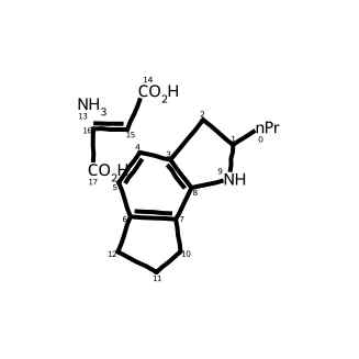 CCCC1Cc2ccc3c(c2N1)CCC3.N.O=C(O)C=CC(=O)O